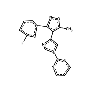 Cc1onc(-c2cccc(F)c2)c1-c1cn(-c2ncccn2)cn1